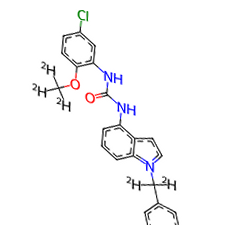 [2H]C([2H])([2H])Oc1ccc(Cl)cc1NC(=O)Nc1cccc2c1ccn2C([2H])([2H])c1ccnc(N)c1